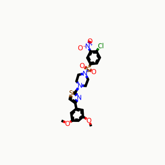 COc1cc(OC)cc(-c2csc(N3CCN(S(=O)(=O)c4ccc(Cl)c([N+](=O)[O-])c4)CC3)n2)c1